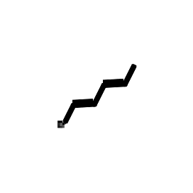 CC=CC=[CH][Er]